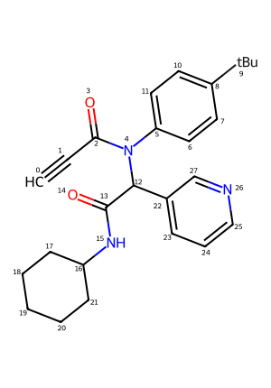 C#CC(=O)N(c1ccc(C(C)(C)C)cc1)C(C(=O)NC1CCCCC1)c1cccnc1